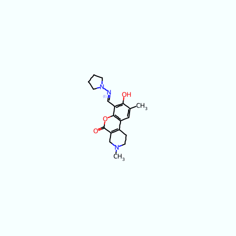 Cc1cc2c3c(c(=O)oc2c(/C=N/N2CCCC2)c1O)CN(C)CC3